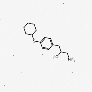 NCC(O)Cc1ccc(SC2CCCCC2)cc1